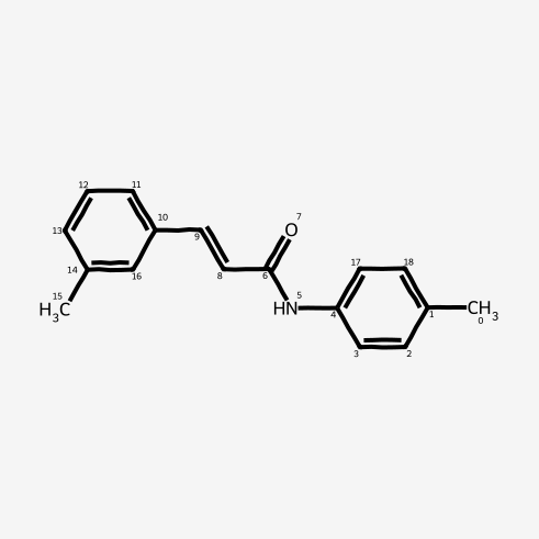 Cc1ccc(NC(=O)C=Cc2cccc(C)c2)cc1